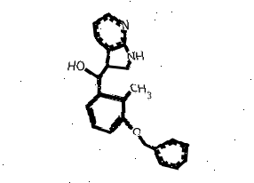 CC1C(OCc2ccccc2)=CC=CC1C(O)C1CNc2ncccc21